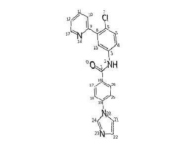 O=C(Nc1ccc(Cl)c(-c2ccccn2)c1)c1ccc(-n2ccnc2)cc1